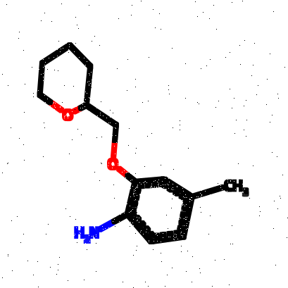 Cc1ccc(N)c(OCC2CCCCO2)c1